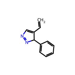 C=CC1=CN=NC1c1ccccc1